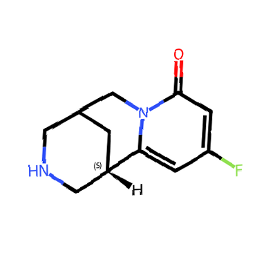 O=c1cc(F)cc2n1CC1CNC[C@@H]2C1